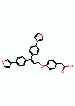 O=C(O)Cc1ccc(OCC=C(c2ccc(-c3ccoc3)cc2)c2ccc(-c3ccoc3)cc2)cc1